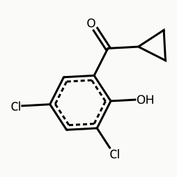 O=C(c1cc(Cl)cc(Cl)c1O)C1CC1